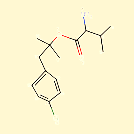 CC(C)C(N)C(=O)OC(C)(C)Cc1ccc(Cl)cc1